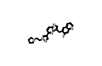 Fc1cc2ncccc2cc1Cc1cnc2ccc(-c3cnn(CCN4CCCC4)c3)nn12